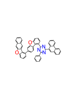 c1ccc(-c2nc(-c3cc4ccccc4c4ccccc34)nc(-c3cccc4oc5cc(-c6cccc7oc8cc9ccccc9cc8c67)ccc5c34)n2)cc1